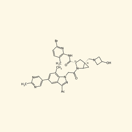 CC(=O)c1nn(CC(=O)N2C3C[C@]3(CN3CC(O)C3)C[C@H]2C(=O)Nc2nc(Br)ccc2C)c2c(C)cc(-c3cnc(C)nc3)cc12